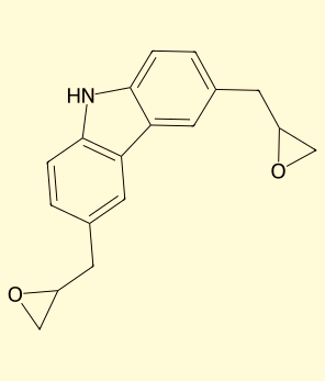 c1cc2[nH]c3ccc(CC4CO4)cc3c2cc1CC1CO1